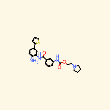 Nc1ccc(-c2cccs2)cc1NC(=O)c1cccc(NC(=O)OCCN2CCCC2)c1